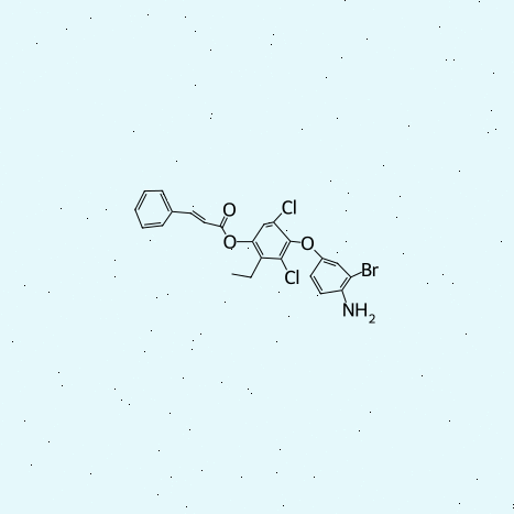 CCc1c(OC(=O)C=Cc2ccccc2)cc(Cl)c(Oc2ccc(N)c(Br)c2)c1Cl